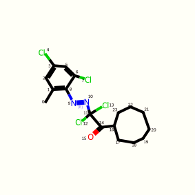 Cc1cc(Cl)cc(Cl)c1/N=N/C(Cl)(Cl)C(=O)C1CCCCCCC1